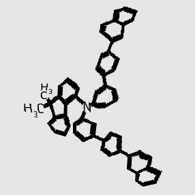 CC1(C)c2ccccc2-c2c(N(c3cccc(-c4ccc(-c5ccc6ccccc6c5)cc4)c3)c3cccc(-c4ccc(-c5ccc6ccccc6c5)cc4)c3)cccc21